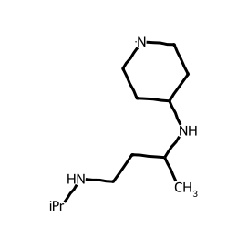 CC(C)NCCC(C)NC1CC[N]CC1